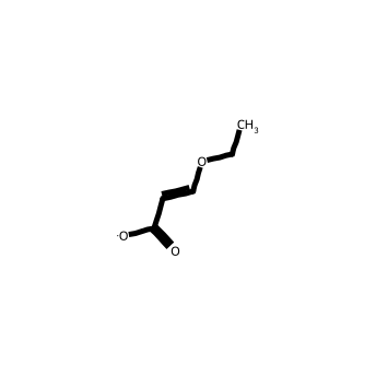 CCOC=CC([O])=O